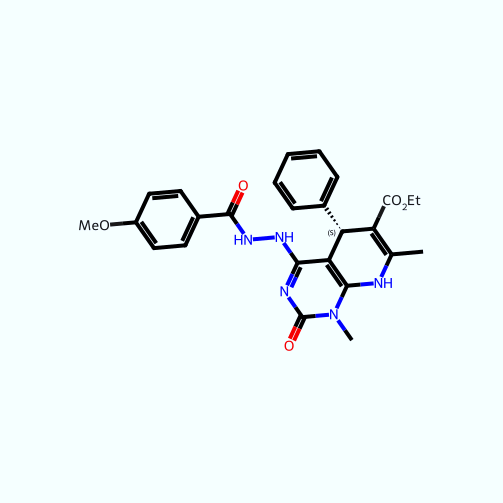 CCOC(=O)C1=C(C)Nc2c(c(NNC(=O)c3ccc(OC)cc3)nc(=O)n2C)[C@@H]1c1ccccc1